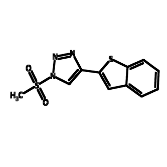 CS(=O)(=O)n1cc(-c2cc3ccccc3s2)nn1